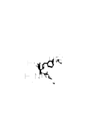 COCCOc1nc(N)c2nc(O)n(Cc3cccc(C[PH](=O)OC)c3)c2n1